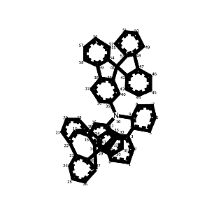 c1ccc(-c2ccccc2N(c2ccc3c(c2)-c2c4cccc2-c2cccc-3c2-c2ccccc2-4)c2ccc3c(c2)C2(c4ccccc4-c4ccccc42)c2ccccc2-3)cc1